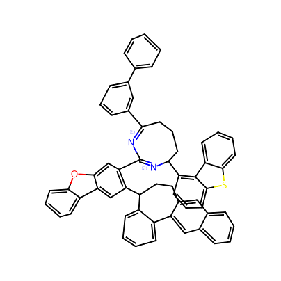 c1ccc(-c2cccc(/C3=N/C(c4cc5oc6ccccc6c5cc4C4CCc5cc6ccccc6cc5-c5ccccc54)=N\C(c4cccc5sc6ccccc6c45)CCC3)c2)cc1